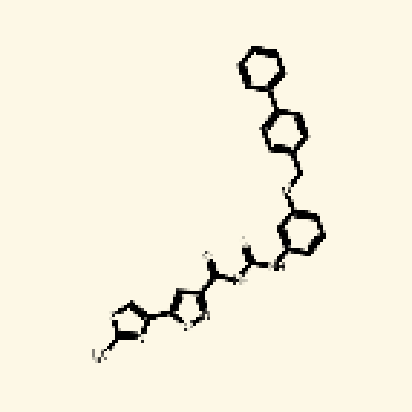 Cc1nc(-c2cc(C(=O)NC(=S)Nc3cccc(OCc4ccc(-c5ccccc5)cc4)c3)no2)cs1